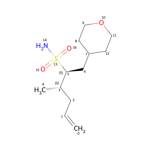 C=CC[C@H](C)[C@H](CC1CCOCC1)S(N)(=O)=O